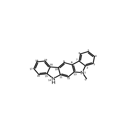 Cn1c2ccccc2c2cc3c(cc21)[nH]c1ccccc13